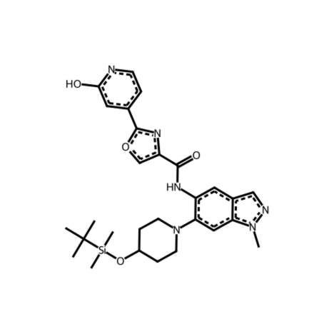 Cn1ncc2cc(NC(=O)c3coc(-c4ccnc(O)c4)n3)c(N3CCC(O[Si](C)(C)C(C)(C)C)CC3)cc21